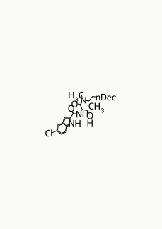 CCCCCCCCCCCCN(C)C(=O)[C@@H](NC(=O)c1cc2cc(Cl)ccc2[nH]1)[C@@H](C)O